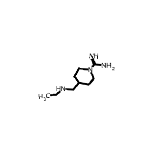 CCNCC1CCN(C(=N)N)CC1